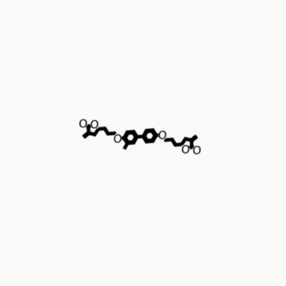 C=C1CC(CCCOc2ccc(-c3ccc(OCCCC4CC(=C)C(=O)O4)c(C)c3)cc2)OC1=O